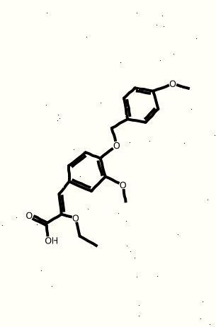 CCO/C(=C\c1ccc(OCc2ccc(OC)cc2)c(OC)c1)C(=O)O